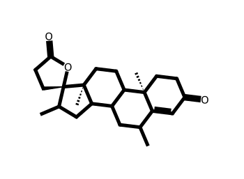 CC1CC2C(CC[C@@]3(C)C2CC(C)[C@@]32CCC(=O)O2)[C@@]2(C)CCC(=O)C=C12